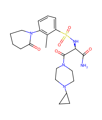 Cc1c(N2CCCCC2=O)cccc1S(=O)(=O)N[C@@H](C(N)=O)C(=O)N1CCN(C2CC2)CC1